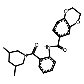 CC1CC(C)CN(C(=O)c2ccccc2NC(=O)c2ccc3c(c2)OCCO3)C1